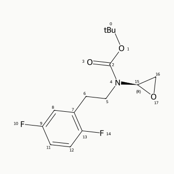 CC(C)(C)OC(=O)N(CCc1cc(F)ccc1F)[C@H]1CO1